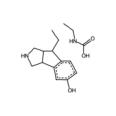 CCC1c2ccc(O)cc2C2CNCC12.CCNC(=O)O